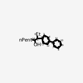 [CH2]CC(c1ccc(-c2ccccc2)cc1)C(O)CCCCC